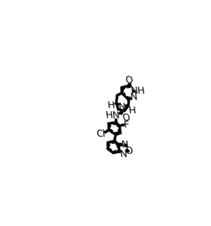 O=C(Nc1cc(Cl)c(-c2cccc3nonc23)cc1F)N1[C@H]2CC[C@@H]1c1n[nH]c(=O)cc1C2